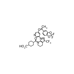 C[C@H](Oc1cncc(-n2nc(C(F)(F)F)c3c2N(C(=O)C2CCC(C(=O)O)CC2)CCC3)c1)c1ccc2c(c1)OC(F)(F)O2